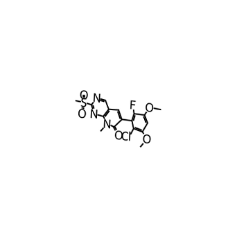 COc1cc(OC)c(Cl)c(-c2cc3cnc(S(C)(=O)=O)nc3n(C)c2=O)c1F